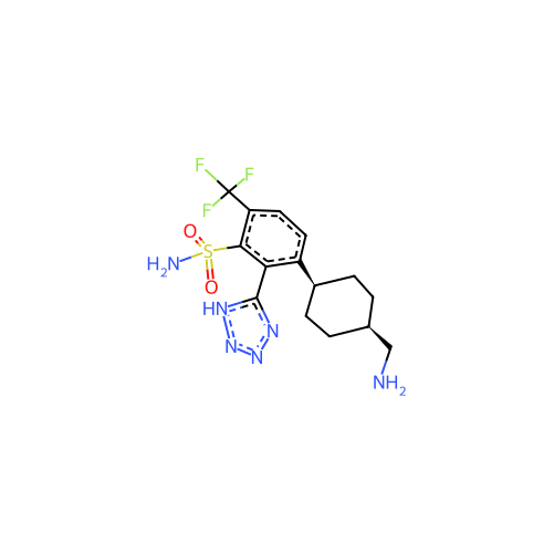 NC[C@H]1CC[C@@H](c2ccc(C(F)(F)F)c(S(N)(=O)=O)c2-c2nnn[nH]2)CC1